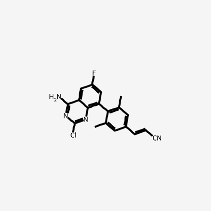 Cc1cc(/C=C/C#N)cc(C)c1-c1cc(F)cc2c(N)nc(Cl)nc12